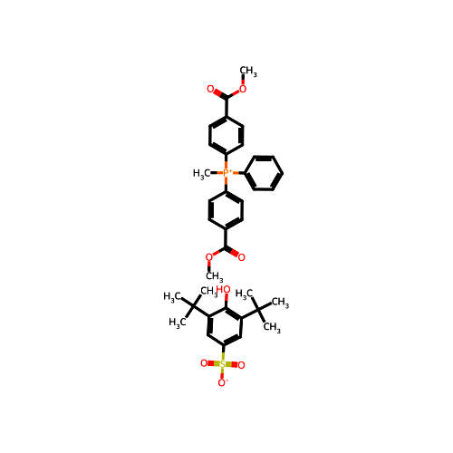 CC(C)(C)c1cc(S(=O)(=O)[O-])cc(C(C)(C)C)c1O.COC(=O)c1ccc([P+](C)(c2ccccc2)c2ccc(C(=O)OC)cc2)cc1